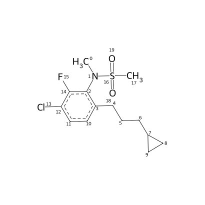 CN(c1c(CCCC2CC2)ccc(Cl)c1F)S(C)(=O)=O